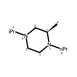 CCCN1CCN(C(C)C)C[C@H]1C